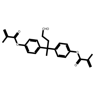 C=C(C)C(=O)Oc1ccc(C(C)(CCC=O)c2ccc(OC(=O)C(=C)C)cc2)cc1